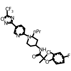 CCCC1CC(NC(=O)C(C)(C)Oc2ccc(F)cc2Cl)CCN1c1ccc(-c2noc(C(F)(F)F)n2)cn1